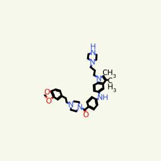 Cc1c(C)n(CCCN2CCNCC2)c2ccc(Nc3ccc(C(=O)N4CCN(CCc5ccc6c(c5)OCO6)CC4)cc3)cc12